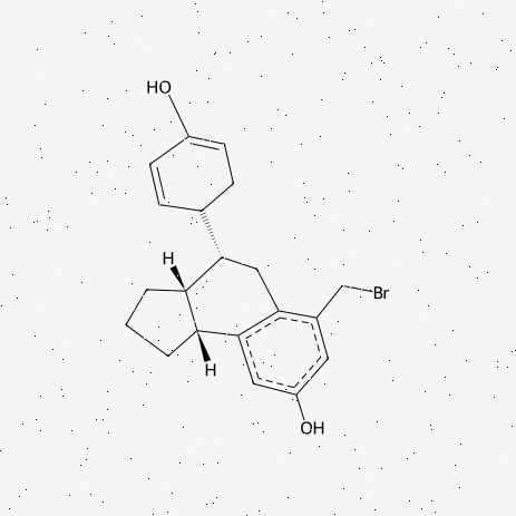 OC1=CCC([C@@H]2Cc3c(CBr)cc(O)cc3[C@@H]3CCC[C@@H]32)C=C1